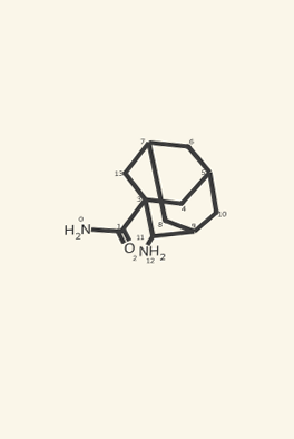 NC(=O)C12CC3CC(CC(C3)C1N)C2